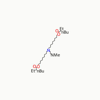 CCCCC(CC)C(=O)OCCCCCCCCCN(CCCCCCCCCOC(=O)C(CC)CCCC)CCNC